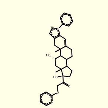 CC12Cc3cnn(-c4ccccc4)c3C=C1CCC1C2[C@@H](O)CC2(C)C1CC[C@]2(O)C(=O)COc1ccccn1